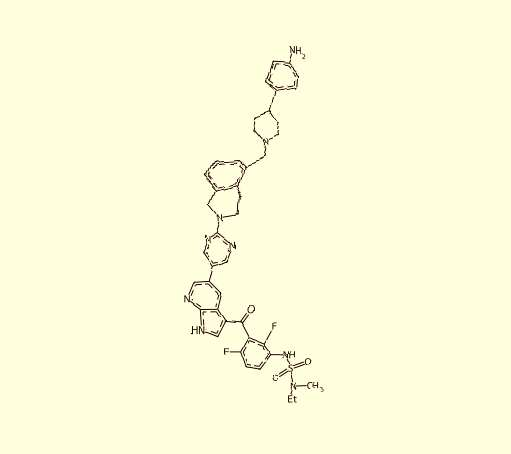 CCN(C)S(=O)(=O)Nc1ccc(F)c(C(=O)c2c[nH]c3ncc(-c4cnc(N5CCc6c(CN7CCC(c8ccc(N)cc8)CC7)cccc6C5)nc4)cc23)c1F